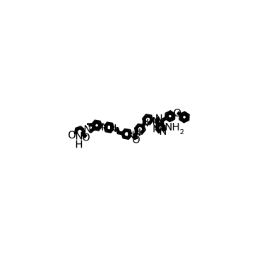 Nc1ncnc2c1c(-c1ccc(Oc3ccccc3)cc1)nn2[C@@H]1CCCN(C2CCN(C(=O)N3CCC(CCN4CCN(c5ccc6c(c5)CN(C5CCC(=O)NC5=O)C6)CC4)CC3)CC2)C1